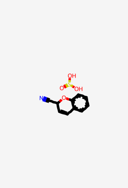 N#CC1C=Cc2ccccc2O1.O=S(O)O